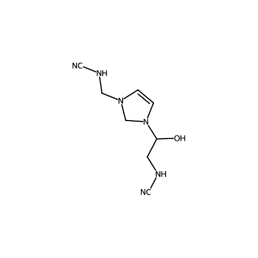 N#CNCC(O)N1C=CN(CNC#N)C1